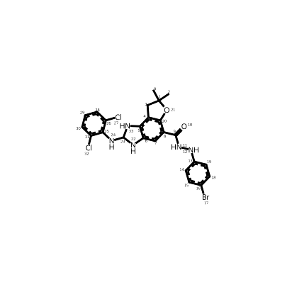 CC1(C)Cc2c3c(cc(C(=O)NNc4ccc(Br)cc4)c2O1)NC(Nc1c(Cl)cccc1Cl)N3